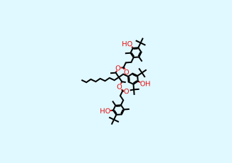 CCCCCCCCC(Cc1cc(C(C)(C)C)c(O)c(C(C)(C)C)c1)(C(C)OC(=O)CCc1c(C)cc(C(C)(C)C)c(O)c1C)C(C)OC(=O)CCc1c(C)cc(C(C)(C)C)c(O)c1C